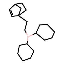 C1=CC2(CCB(C3CCCCC3)C3CCCCC3)CCC1C2